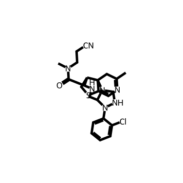 CC1=NC=C2SCC3C(C(=O)N(C)CCC#N)NCC4N(c5ccccc5Cl)NCN4C23C1